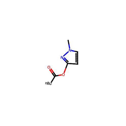 CCCCC(=O)Oc1ccn(C)n1